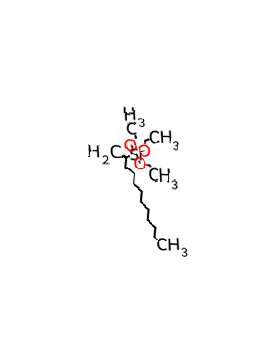 C=C(CCCCCCCCCC)[Si](OCC)(OCC)OCC